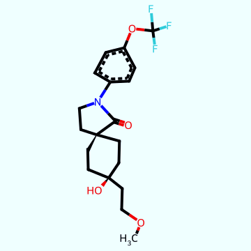 COCC[C@]1(O)CC[C@]2(CCN(c3ccc(OC(F)(F)F)cc3)C2=O)CC1